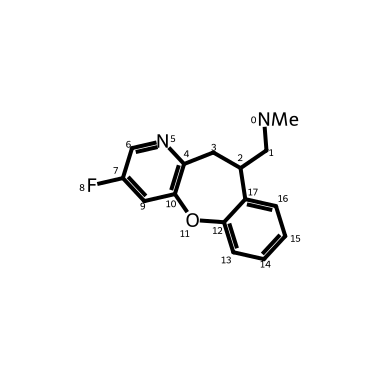 CNCC1Cc2ncc(F)cc2Oc2ccccc21